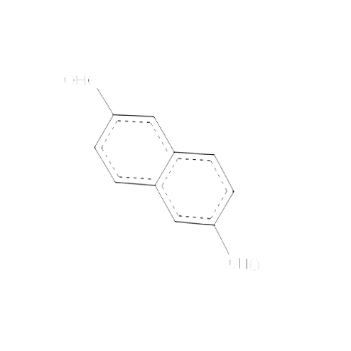 O=Cc1[c]c2ccc(C=O)cc2cc1